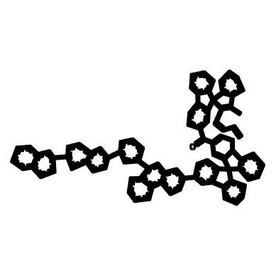 C=C/C=C\C1=C(C)c2ccccc2C12c1ccccc1-c1ccc(C(=O)C3=CCC4C(=C3)C3(c5ccccc5-c5cc(-c6ccc7c(c6)cc(-c6cccc(-c8ccc9cc(-c%10ccc%11ccccc%11c%10)ccc9c8)c6)c6ccccc67)ccc53)c3ccccc34)cc12